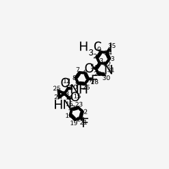 Cc1cc2c(Oc3ccc(NC(=O)C4(C(=O)Nc5ccc(F)cc5)CC4)cc3F)ccnc2cc1I